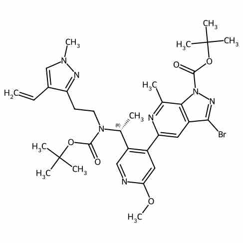 C=Cc1cn(C)nc1CCN(C(=O)OC(C)(C)C)[C@H](C)c1cnc(OC)cc1-c1cc2c(Br)nn(C(=O)OC(C)(C)C)c2c(C)n1